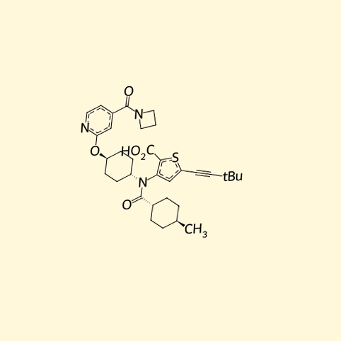 CC(C)(C)C#Cc1cc(N(C(=O)[C@H]2CC[C@H](C)CC2)[C@H]2CC[C@H](Oc3cc(C(=O)N4CCC4)ccn3)CC2)c(C(=O)O)s1